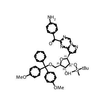 COc1ccc(C(OC[C@H]2O[C@@H](c3cnn4cnc(C(=O)c5ccc(N)cc5)nc34)[C@H](O[Si](C)(C)C(C)(C)C)[C@@H]2O)(c2ccccc2)c2ccc(OC)cc2)cc1